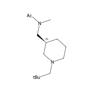 CC(=O)N(C)C[C@H]1CCCN(CC(C)(C)C)C1